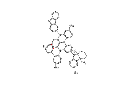 Cc1cc2c3c(c1)N(c1ccc(C(C)(C)C)cc1-c1ccccc1)c1cc(N4c5ccc(C(C)(C)C)cc5C5(C)CCCCC45C)ccc1B3c1ccc(C(C)(C)C)cc1N2c1ccc2sc3ccccc3c2c1